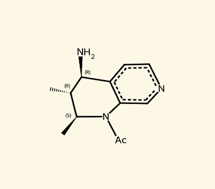 CC(=O)N1c2cnccc2[C@H](N)[C@@H](C)[C@@H]1C